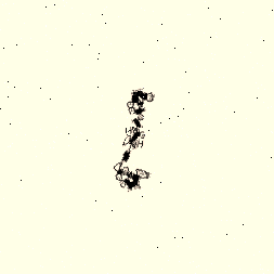 O=C(OCCNC(=O)C(=O)NCCOC(=O)ON1C(=O)CCC1=O)ON1C(=O)CCC1=O